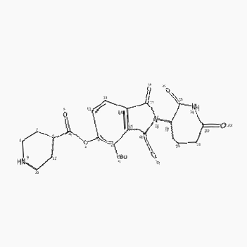 CC(C)(C)c1c(OC(=O)C2CCNCC2)ccc2c1C(=O)N(C1CCC(=O)NC1=O)C2=O